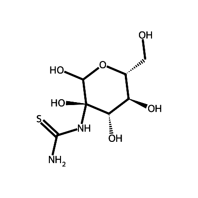 NC(=S)N[C@]1(O)C(O)O[C@H](CO)[C@@H](O)[C@@H]1O